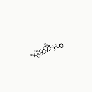 CC(C)(O)[C@@H]1CC[C@](C)([C@H]2[C@@H](O)C[C@@]3(C)C4C[C@H](O)[C@H]5C(C)(C)[C@@H](OC(=O)[C@H](Cl)Cc6ccccc6)CC[C@@]56CC46CC[C@]23C)O1